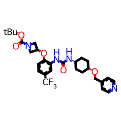 CC(C)(C)OC(=O)N1CC(Oc2ccc(C(F)(F)F)cc2NC(=O)N[C@H]2CC[C@H](OCc3ccncc3)CC2)C1